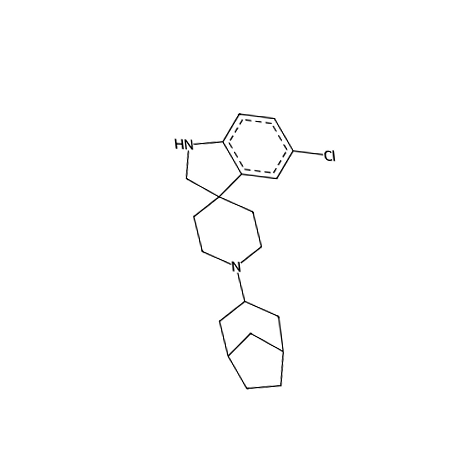 Clc1ccc2c(c1)C1(CCN(C3CC4CCC(C4)C3)CC1)CN2